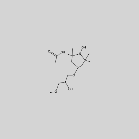 CC(=O)O.COCC(O)COC1CC(C)(C)N(O)C(C)(C)C1